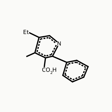 CCc1cnc(-c2ccccc2)c(C(=O)O)c1C